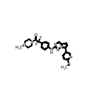 COc1ccc(-c2ccc3cnc(Nc4ccc(C(F)(F)C(=O)N5CCN(C)CC5)cc4)nn23)cn1